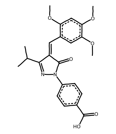 COc1cc(OC)c(OC)cc1C=C1C(=O)N(c2ccc(C(=O)O)cc2)N=C1C(C)C